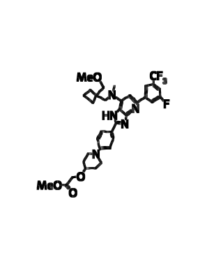 COCC1(CN(C)c2cc(-c3cc(F)cc(C(F)(F)F)c3)nc3nc(-c4ccc(N5CCC(OCC(=O)OC)CC5)cc4)[nH]c23)CCC1